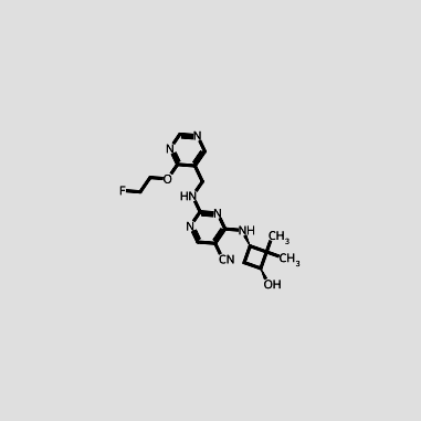 CC1(C)[C@@H](O)C[C@H]1Nc1nc(NCc2cncnc2OCCF)ncc1C#N